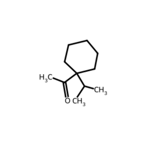 CC(=O)C1(C(C)C)CCCCC1